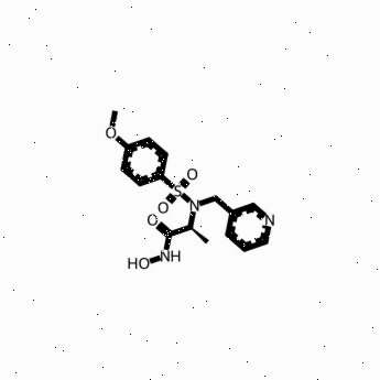 COc1ccc(S(=O)(=O)N(Cc2cccnc2)[C@@H](C)C(=O)NO)cc1